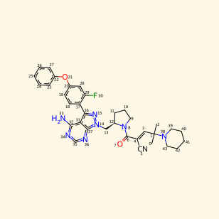 CC(C)(C=C(C#N)C(=O)N1CCC[C@@H]1Cn1nc(-c2ccc(Oc3ccccc3)cc2F)c2c(N)ncnc21)N1CCCCC1